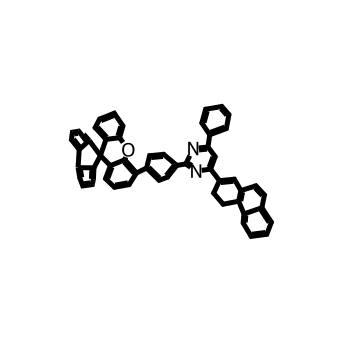 C1=C(c2cc(-c3ccccc3)nc(-c3ccc(-c4cccc5c4Oc4ccccc4C54c5ccccc5-c5ccccc54)cc3)n2)CCc2c1ccc1ccccc21